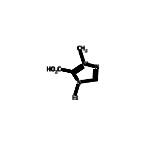 CCn1cn[n+](C)c1C(=O)O